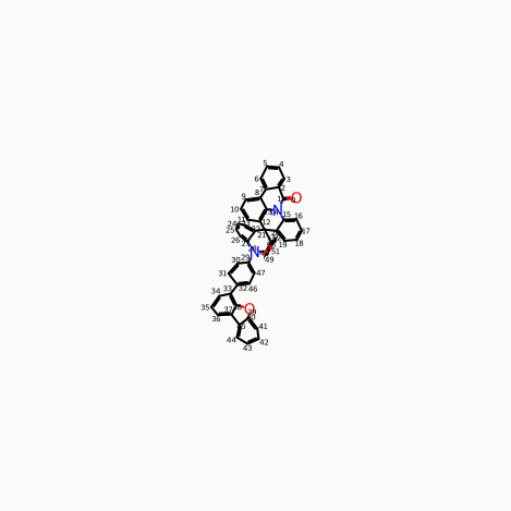 O=c1c2ccccc2c2cccc3c2n1-c1ccccc1C31c2ccccc2N(c2ccc(-c3cccc4c3oc3ccccc34)cc2)c2ccccc21